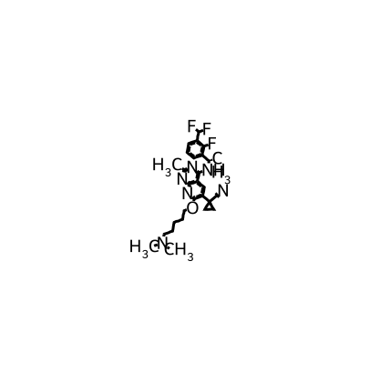 Cc1nc(N[C@H](C)c2cccc(C(F)F)c2F)c2cc(C3(C#N)CC3)c(OCCCCCN(C)C)nc2n1